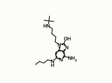 CCCCNc1cc2c(nc(O)n2CCCCNC(C)(C)C)c(N)n1